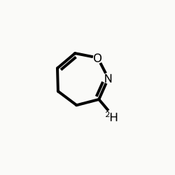 [2H]C1=NOC=CCC1